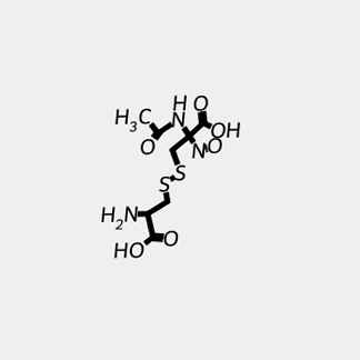 CC(=O)NC(CSSCC(N)C(=O)O)(N=O)C(=O)O